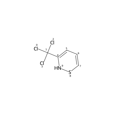 ClC(Cl)(Cl)C1=CC=CSN1